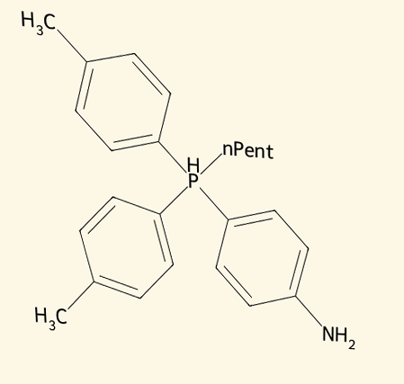 CCCCC[PH](c1ccc(C)cc1)(c1ccc(C)cc1)c1ccc(N)cc1